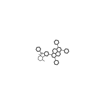 CC1CCCC2(C)C1c1cc(-c3cc(-c4ccccc4)c4ccc5c(-c6ccccc6)cc(-c6ccccc6)c6ccc3c4c56)ccc1N2c1ccccc1